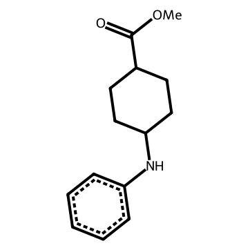 COC(=O)C1CCC(Nc2ccccc2)CC1